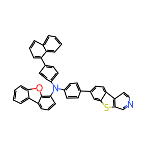 c1ccc2c(-c3ccc(N(c4ccc(-c5ccc6c(c5)sc5cnccc56)cc4)c4cccc5c4oc4ccccc45)cc3)cccc2c1